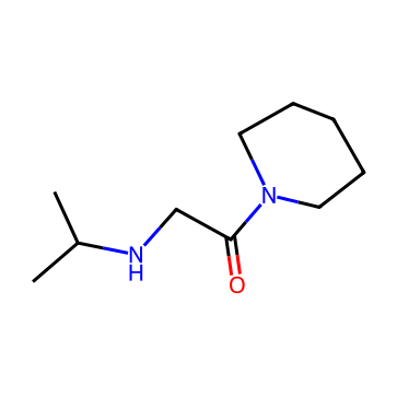 CC(C)NCC(=O)N1CCCCC1